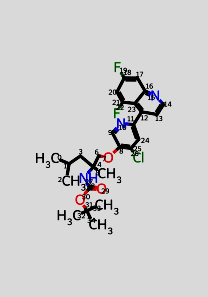 CC(C)CC(C)(COc1cnc(-c2ccnc3cc(F)cc(F)c23)cc1Cl)NC(=O)OC(C)(C)C